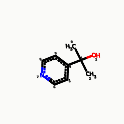 CC(C)(O)c1[c]cncc1